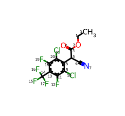 CCOC(=O)C(C#N)c1c(Cl)c(F)c(C(F)(F)F)c(F)c1Cl